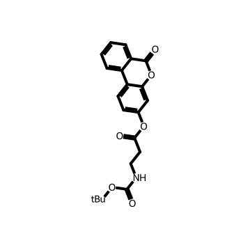 CC(C)(C)OC(=O)NCCC(=O)Oc1ccc2c(c1)oc(=O)c1ccccc12